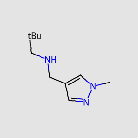 Cn1cc(CNCC(C)(C)C)cn1